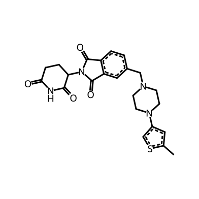 Cc1cc(N2CCN(Cc3ccc4c(c3)C(=O)N(C3CCC(=O)NC3=O)C4=O)CC2)cs1